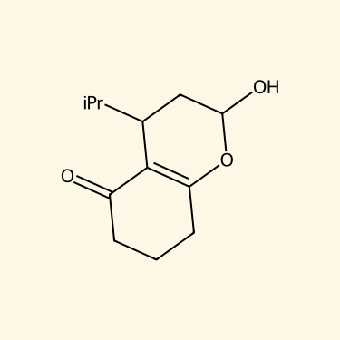 CC(C)C1CC(O)OC2=C1C(=O)CCC2